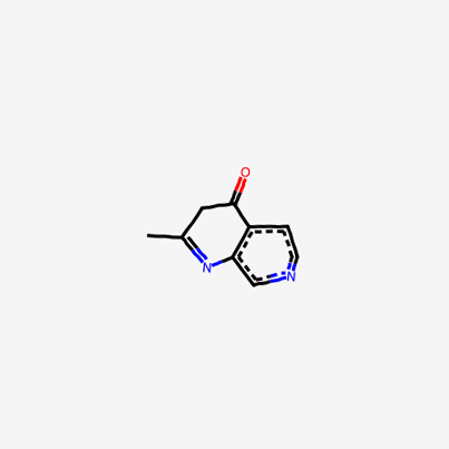 CC1=Nc2cnccc2C(=O)C1